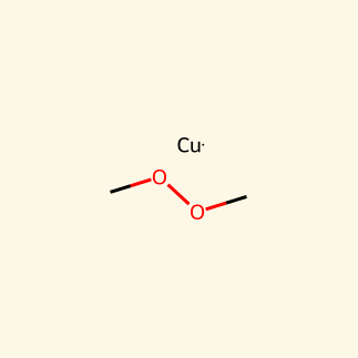 COOC.[Cu]